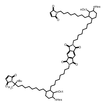 CCCCCCCCC1C(CCCCCC)CCC(CCCCCCCCn2c(=O)c3cc4c(=O)n(CCCCCCCCC5C(CCCCCCCCC(C)(CCCC)N6C(=O)C=CC6=O)CCC(CCCCCC)C5CCCCCCCC)c(=O)c4cc3c2=O)C1CCCCCCCCN1C(=O)C=CC1=O